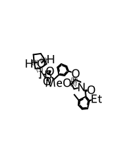 CCc1cccc(C)c1C(=O)N1C[C@@H](OC)[C@H](Oc2cccc(CS(=O)(=O)N(C)[C@@H]3C[C@H]4CC[C@@H](C3)O4)c2)C1